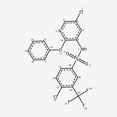 O=S(=O)(Nc1cc(Cl)cnc1Oc1ccccc1)c1ccc(Cl)c(C(F)(F)F)c1